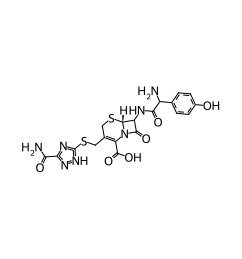 NC(=O)c1n[nH]c(SCC2=C(C(=O)O)N3C(=O)C(NC(=O)C(N)c4ccc(O)cc4)[C@H]3SC2)n1